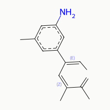 C=C(C)/C(C)=C\C(=C/C)c1cc(C)cc(N)c1